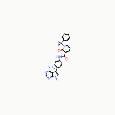 Cn1cc(-c2ccc(NC(=O)c3cccn(C4(c5ccccc5)CC4)c3=O)cc2)c2c(N)ncnc21